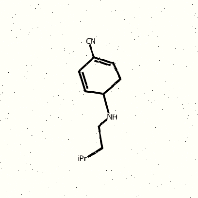 CC(C)CCNC1C=CC(C#N)=CC1